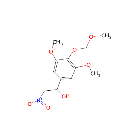 COCOc1c(OC)cc(C(O)C[N+](=O)[O-])cc1OC